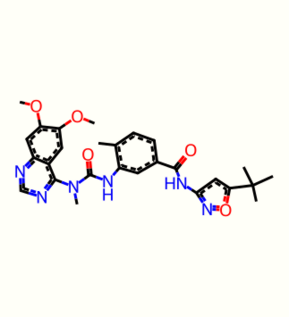 COc1cc2ncnc(N(C)C(=O)Nc3cc(C(=O)Nc4cc(C(C)(C)C)on4)ccc3C)c2cc1OC